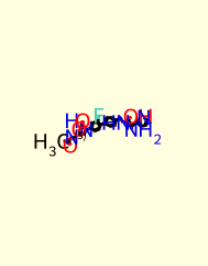 CC(=O)NC[C@H]1CN(c2ccc(-c3ccc(CNC(O)C(N)c4cccnc4)cc3)c(F)c2)C(=O)O1